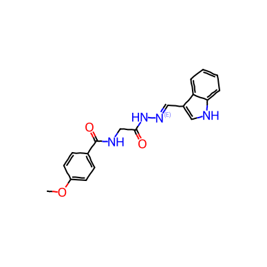 COc1ccc(C(=O)NCC(=O)N/N=C/c2c[nH]c3ccccc23)cc1